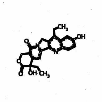 CCc1c2c(nc3ccc(O)cc13)-c1cc3c(c(=O)n1C2)COC(=O)[C@@]3(O)CC